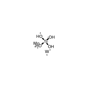 [Mn].[OH][Ti]([OH])([OH])[OH].[W]